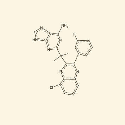 CC(C)(c1nc(N)c2nc[nH]c2n1)c1nc2c(Cl)cccc2nc1-c1cccc(F)c1